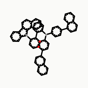 c1ccc(N(c2ccc(-c3ccc4ccccc4c3)cc2)c2ccc(-c3cccc4ccccc34)cc2)c(-c2ccccc2-n2c3ccccc3c3ccc4ccccc4c32)c1